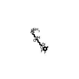 Cc1cc(F)c(F)c(OC(=O)CCCCC(=O)NCCC[Si](C)(C)O[SiH3])c1F